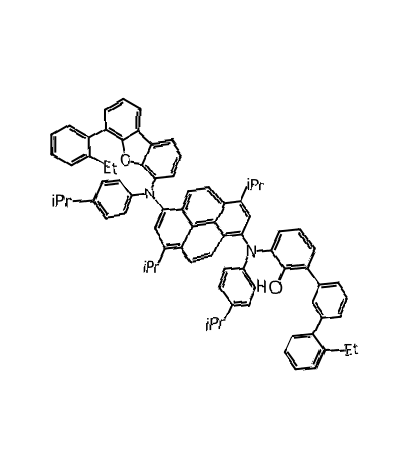 CCc1ccccc1-c1cccc(-c2cccc(N(c3ccc(C(C)C)cc3)c3cc(C(C)C)c4ccc5c(N(c6ccc(C(C)C)cc6)c6cccc7c6oc6c(-c8ccccc8CC)cccc67)cc(C(C)C)c6ccc3c4c65)c2O)c1